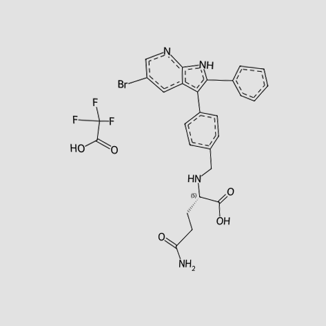 NC(=O)CC[C@H](NCc1ccc(-c2c(-c3ccccc3)[nH]c3ncc(Br)cc23)cc1)C(=O)O.O=C(O)C(F)(F)F